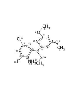 COc1cc(OC)nc(C(SC)c2cc(Cl)cc(F)c2N)n1